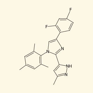 Cc1cc(C)c(-n2cc(-c3ccc(F)cc3F)nc2-c2cc(C)n[nH]2)c(C)c1